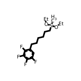 CCO[Si](C)(CCCCCCc1cc(F)c(F)c(F)c1F)OCC